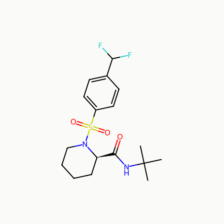 CC(C)(C)NC(=O)[C@H]1CCCCN1S(=O)(=O)c1ccc(C(F)F)cc1